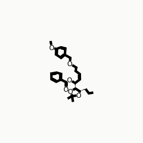 CCC[C@@H]1OC(C)(C)O[C@@H]1C(/C=C\CCOCc1ccc(OC)cc1)OC(=O)c1ccccc1